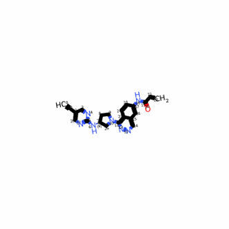 C#Cc1cnc(N[C@@H]2CCN(c3nncc4cc(NC(=O)C=C)ccc34)C2)nc1